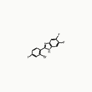 Fc1ccc(-c2nc3cc(F)c(F)cc3[nH]2)c(Br)c1